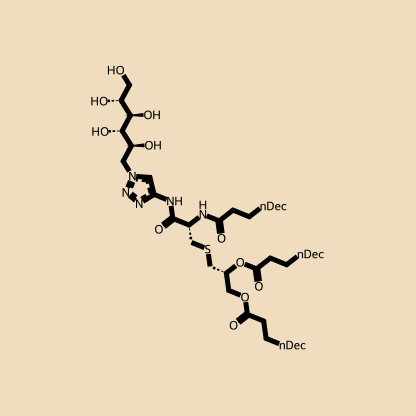 CCCCCCCCCCCCC(=O)N[C@H](CSC[C@@H](COC(=O)CCCCCCCCCCCC)OC(=O)CCCCCCCCCCCC)C(=O)Nc1cn(C[C@H](O)[C@H](O)[C@H](O)[C@H](O)CO)nn1